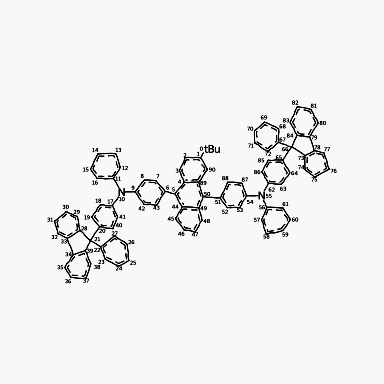 CC(C)(C)c1ccc2c(-c3ccc(N(c4ccccc4)c4ccc(C5(c6ccccc6)c6ccccc6-c6ccccc65)cc4)cc3)c3ccccc3c(-c3ccc(N(c4ccccc4)c4ccc(C5(c6ccccc6)c6ccccc6-c6ccccc65)cc4)cc3)c2c1